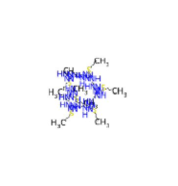 CCCCCSc1nc(NC)nc(NCCNc2nc(NCCNc3nc(NCCNc4nc(NCCNc5nc(NCCNc6nc(NC)nc(SCCCCC)n6)nc(SCCCCC)n5)nc(SCCCCC)n4)nc(SCCCCC)n3)nc(SCCCCC)n2)n1